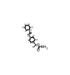 CC(OC(N)=O)c1ccc(N=Nc2ccccc2)cc1